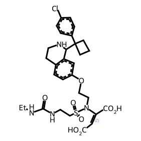 CCNC(=O)NCCS(=O)(=O)N(CCOc1ccc2c(c1)C(C1(c3ccc(Cl)cc3)CCC1)NCC2)/C(=C\C(=O)O)C(=O)O